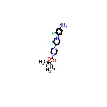 CC(C)(C)OC(=O)N1CCN([C@H]2CCN(c3ccc(N)cc3F)C[C@H]2F)CC1